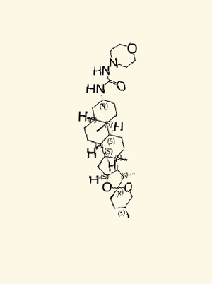 C[C@H]1CC[C@@]2(OC1)O[C@H]1C[C@H]3[C@@H]4CC[C@@H]5C[C@H](NC(=O)NN6CCOCC6)CC[C@]5(C)[C@H]4CC[C@]3(C)C1[C@@H]2C